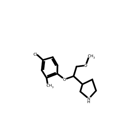 COCC(Oc1ccc(Cl)cc1C)C1CCNC1